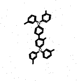 Cc1cccc(N(c2ccc(-c3ccc(N(c4cccc(C)c4)c4cccc(C)c4)cc3C)cc2)c2cccc(C)c2)c1